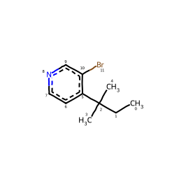 CCC(C)(C)c1ccncc1Br